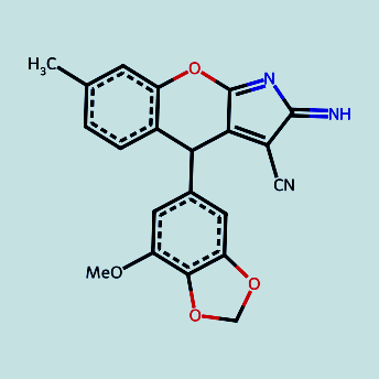 COc1cc(C2C3=C(C#N)C(=N)N=C3Oc3cc(C)ccc32)cc2c1OCO2